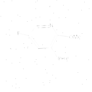 CCCC(C)c1cc(F)cnc1OC